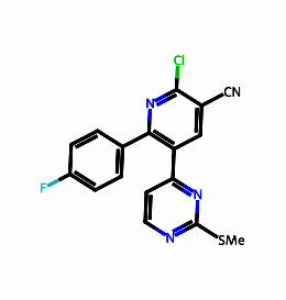 CSc1nccc(-c2cc(C#N)c(Cl)nc2-c2ccc(F)cc2)n1